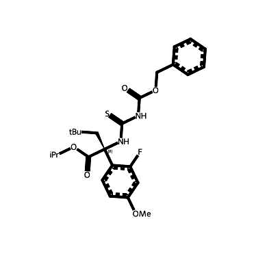 COc1ccc([C@@](CC(C)(C)C)(NC(=S)NC(=O)OCc2ccccc2)C(=O)OC(C)C)c(F)c1